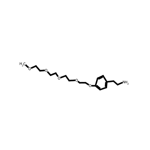 COCCOCCOCCOCCOc1ccc(CCN)cc1